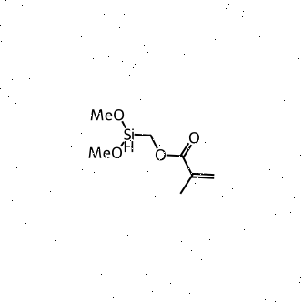 C=C(C)C(=O)OC[SiH](OC)OC